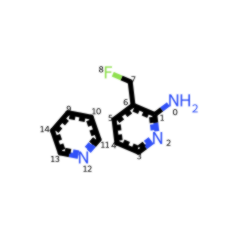 Nc1ncccc1CF.c1ccncc1